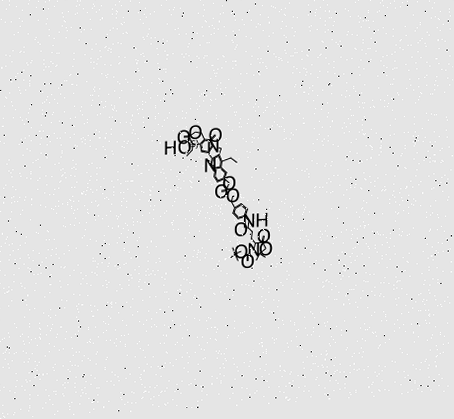 CCc1c2c(nc3ccc(OC(=O)OCc4ccc(NC(=O)CCC5C(=O)OC(C)(C)N5C(=O)OC(C)(C)C)cc4)cc13)-c1cc3c(c(=O)n1C2)COC(=O)[C@]3(O)CC